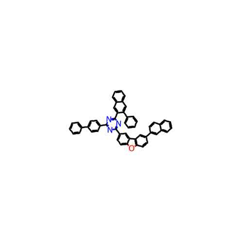 c1ccc(-c2ccc(-c3nc(-c4ccc5oc6ccc(-c7ccc8ccccc8c7)cc6c5c4)nc(-c4cc5ccccc5cc4-c4ccccc4)n3)cc2)cc1